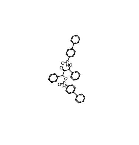 O=C(C(O[PH](=O)c1ccc(-c2ccccc2)cc1)c1ccccc1)C(O[PH](=O)c1ccc(-c2ccccc2)cc1)c1ccccc1